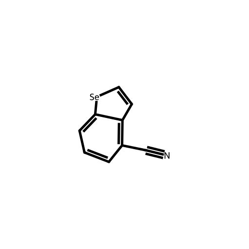 N#Cc1cccc2[se]ccc12